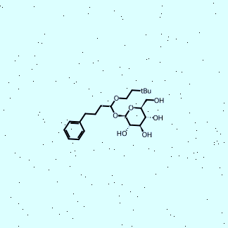 CC(C)(C)CCOC(CCCc1ccccc1)O[C@H]1O[C@@H](CO)[C@H](O)[C@@H](O)[C@@H]1O